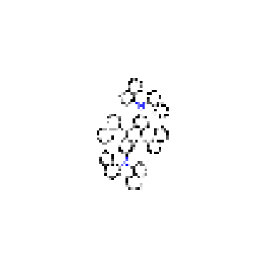 c1ccc2c(-c3c4ccc(N(c5cccc6ccccc56)c5cccc6ccccc56)cc4c(-c4cccc5ccccc45)c4ccc(N(c5cccc6ccccc56)c5cccc6ccccc56)cc34)cccc2c1